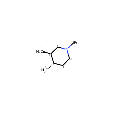 CC(C)N1CC[C@H](C)[C@@H](C)C1